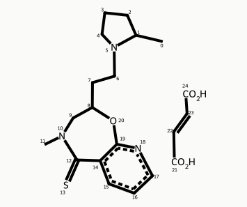 CC1CCCN1CCC1CN(C)C(=S)c2cccnc2O1.O=C(O)C=CC(=O)O